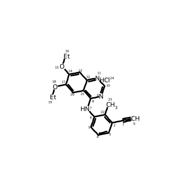 C#Cc1cccc(Nc2ncnc3cc(OCC)c(OCC)cc23)c1C.Cl